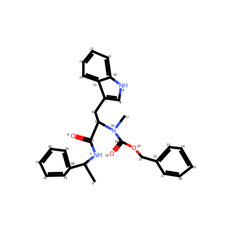 CC(NC(=O)C(Cc1c[nH]c2ccccc12)N(C)C(=O)OCc1ccccc1)c1ccccc1